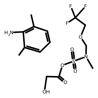 CN(COCC(F)(F)F)S(=O)(=O)OC(=O)CO.Cc1cccc(C)c1N